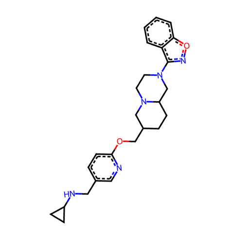 c1ccc2c(N3CCN4CC(COc5ccc(CNC6CC6)cn5)CCC4C3)noc2c1